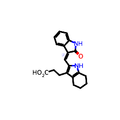 O=C(O)CCc1c(/C=C2\C(=O)Nc3ccccc32)[nH]c2c1CCCC2